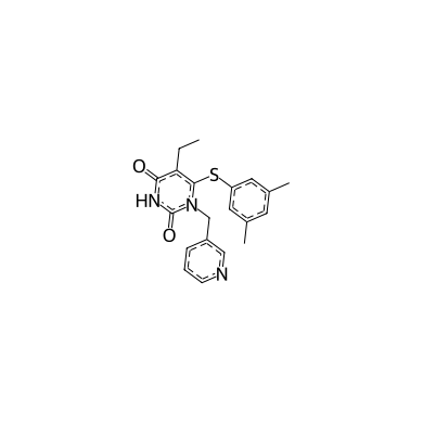 CCc1c(Sc2cc(C)cc(C)c2)n(Cc2cccnc2)c(=O)[nH]c1=O